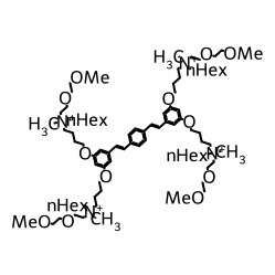 CCCCCC[N+](C)(CCCCOc1cc(/C=C/c2ccc(/C=C/c3cc(OCCCC[N+](C)(CCCCCC)CCOCCOC)cc(OCCCC[N+](C)(CCCCCC)CCOCCOC)c3)cc2)cc(OCCCC[N+](C)(CCCCCC)CCOCCOC)c1)CCOCCOC